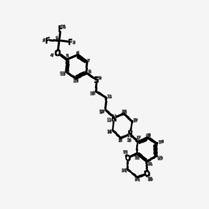 FC(F)(F)Oc1ccc(SCCCN2CCN(c3cccc4c3OCCO4)CC2)cc1